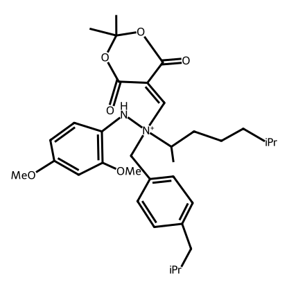 COc1ccc(N[N+](C=C2C(=O)OC(C)(C)OC2=O)(Cc2ccc(CC(C)C)cc2)C(C)CCCC(C)C)c(OC)c1